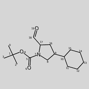 CC(C)(C)OC(=O)N1CC(C2CCCCC2)CC1C=O